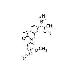 COc1ccc(N2Cc3cc(C(C(C)C)n4ccnc4)ccc3NC2=O)cc1OC